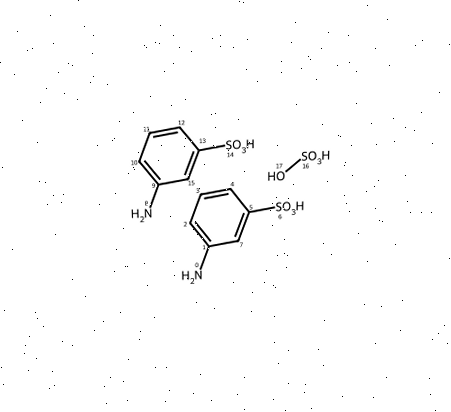 Nc1cccc(S(=O)(=O)O)c1.Nc1cccc(S(=O)(=O)O)c1.O=S(=O)(O)O